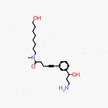 CN(CCCCCCCCO)C(=O)CCC#Cc1cccc(C(O)CCN)c1